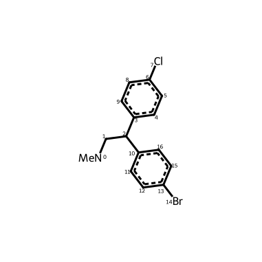 CNCC(c1ccc(Cl)cc1)c1ccc(Br)cc1